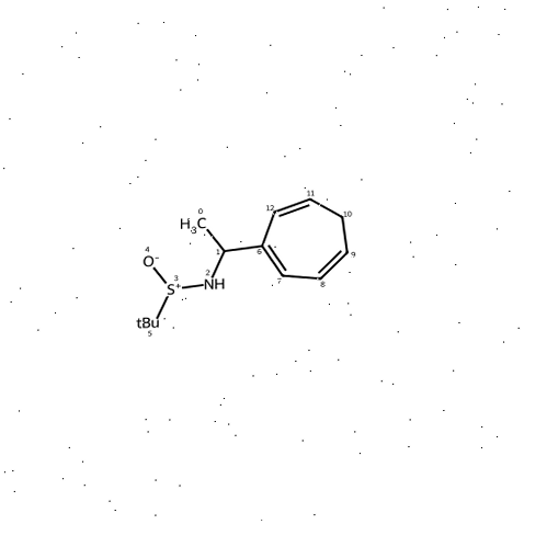 CC(N[S+]([O-])C(C)(C)C)C1=CC=CCC=C1